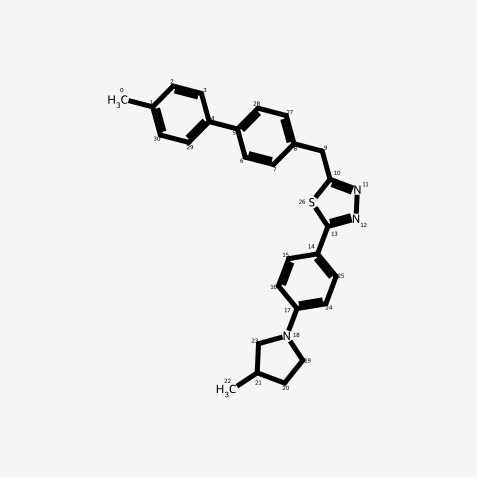 Cc1ccc(-c2ccc(Cc3nnc(-c4ccc(N5CCC(C)C5)cc4)s3)cc2)cc1